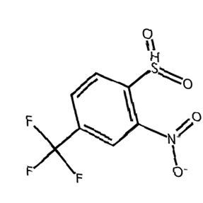 O=[N+]([O-])c1cc(C(F)(F)F)ccc1[SH](=O)=O